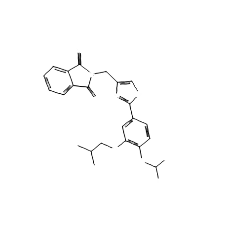 CC(C)COc1cc(-c2nc(CN3C(=O)c4ccccc4C3=O)co2)ccc1OC(F)F